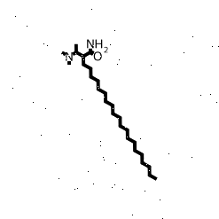 CCCCCCCCCCCCCCCCCCCCC(C(N)=O)C(C)N(C)C